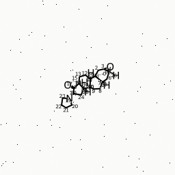 C[C@]12CC3O[C@@H]3C[C@@H]1CC[C@@H]1[C@@H]2CC[C@]2(C)C(=O)[C@@H](N3CCCC3)C[C@@H]12